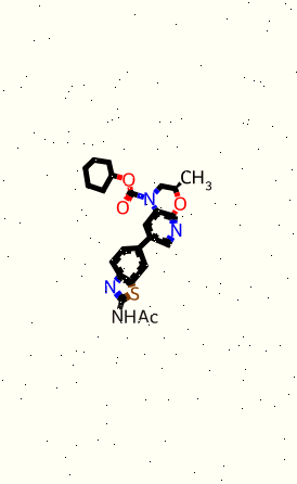 CC(=O)Nc1nc2ccc(-c3cnc4c(c3)N(C(=O)OC3CCCCC3)C[C@@H](C)O4)cc2s1